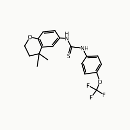 CC1(C)CCOc2ccc(NC(=S)Nc3ccc(OC(F)(F)F)cc3)cc21